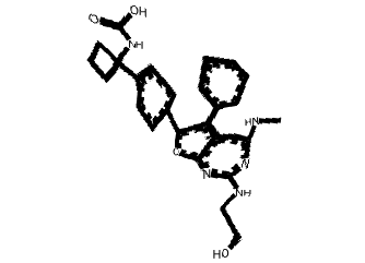 CNc1nc(NCCO)nc2oc(-c3ccc(C4(NC(=O)O)CCC4)cc3)c(-c3ccccc3)c12